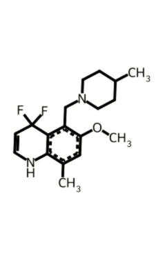 COc1cc(C)c2c(c1CN1CCC(C)CC1)C(F)(F)C=CN2